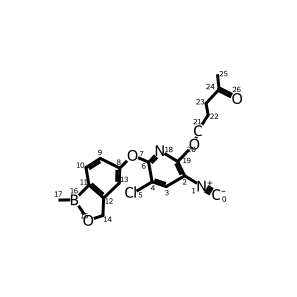 [C-]#[N+]c1cc(Cl)c(Oc2ccc3c(c2)COB3C)nc1OCCCC(C)=O